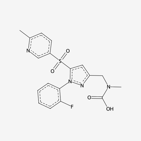 Cc1ccc(S(=O)(=O)c2cc(CN(C)C(=O)O)nn2-c2ccccc2F)cn1